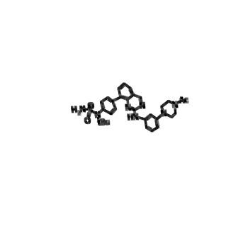 CC(=O)N1CCN(c2cccc(Nc3ncc4cccc(-c5ccc(N(C(C)(C)C)S(N)(=O)=O)cc5)c4n3)c2)CC1